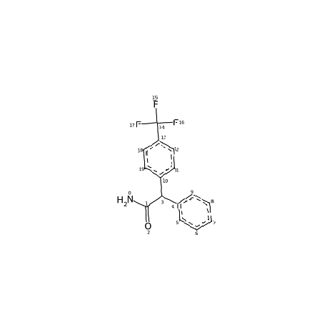 NC(=O)C(c1ccccc1)c1ccc(C(F)(F)F)cc1